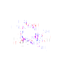 CC[C@H](C)CCCCC(=O)N[C@@H](CCN)C(=O)N[C@H](C(=O)N[C@@H](CCN)C(=O)N[C@H]1CCNC(=O)[C@H]([C@@H](C)O)NC(=O)[C@H](CCN)NC(=O)[C@H](CCN)NC(=O)[C@H](CC(C)C)NC(=O)C(Cc2ccc(O)cc2)NC(=O)[C@H](CCN)NC1=O)[C@@H](C)O